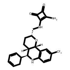 Nc1c(NC[C@H]2CC[C@@H]3[C@H](O2)c2cc(C(F)(F)F)ccc2N[C@H]3C2C=CC=CC2)c(=O)c1=O